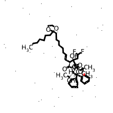 CCCCCCCC1(CCCCCC/C=C/[C@H](C(=O)N2C(=S)OC(c3ccccc3)(c3ccccc3)[C@@H]2C(C)C)[C@@](O)(CC(F)F)C(=O)OC(C)(C)C)OCCO1